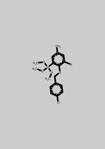 CO[Si](OC)(OC)c1cc(C)cc(Br)c1OCc1ccc(Cl)cc1